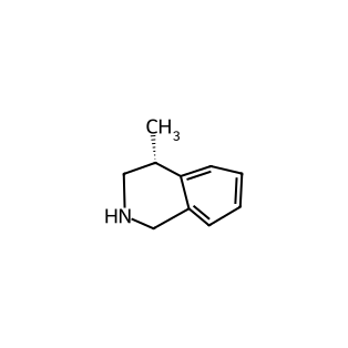 C[C@H]1CNCc2ccccc21